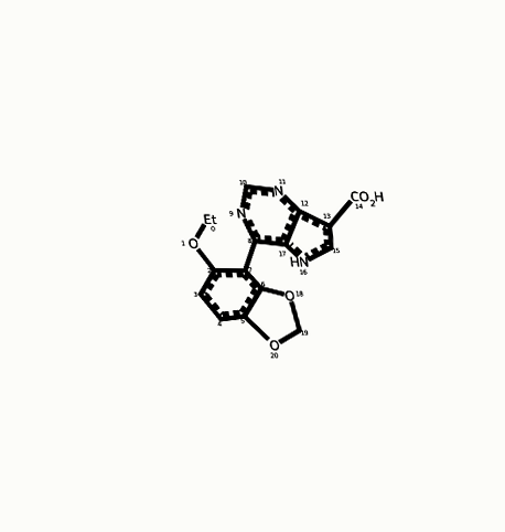 CCOc1ccc2c(c1-c1ncnc3c(C(=O)O)c[nH]c13)OCO2